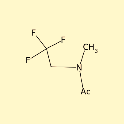 [CH2]C(=O)N(C)CC(F)(F)F